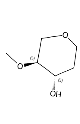 CO[C@H]1COCC[C@@H]1O